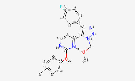 CCOCn1nnc(-c2ccc(F)cc2)c1-c1ccnc(Oc2ccc(C)cc2)n1